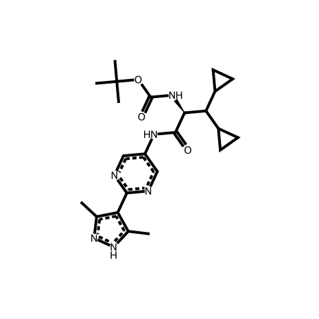 Cc1n[nH]c(C)c1-c1ncc(NC(=O)[C@@H](NC(=O)OC(C)(C)C)C(C2CC2)C2CC2)cn1